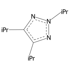 CC(C)c1nn(C(C)C)nc1C(C)C